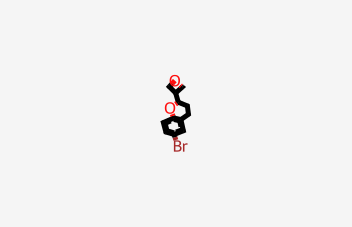 Brc1ccc2c(c1)CCC(C1COC1)O2